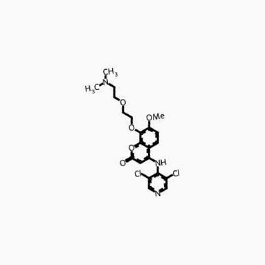 COc1ccc2c(Nc3c(Cl)cncc3Cl)cc(=O)oc2c1OCCOCCN(C)C